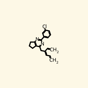 C=C/C=C(\C=C)Cc1nc(-c2cccc(Cl)c2)nc2c1CCC2